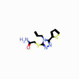 C=CCn1c(SCC(N)=O)nnc1-c1cccs1